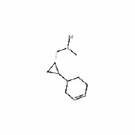 CC(=O)N(C)C[C@H]1CC1C1CC=CCC1